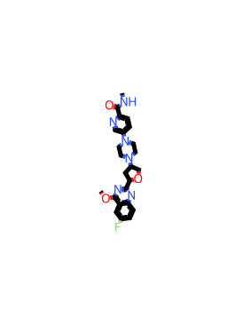 CNC(=O)c1ccc(N2CCN(C3COC(c4nc(OC)c5cc(F)ccc5n4)C3)CC2)cn1